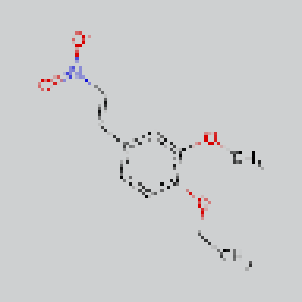 CCOc1ccc(C=C[N+](=O)[O-])cc1OC